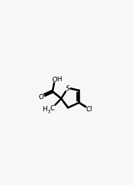 CC1(C(=O)O)CC(Cl)=CS1